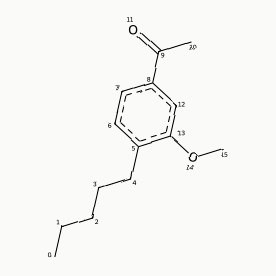 CCCCCc1ccc(C(C)=O)cc1OC